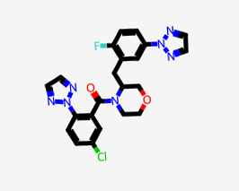 O=C(c1cc(Cl)ccc1-n1nccn1)N1CCOCC1Cc1cc(-n2nccn2)ccc1F